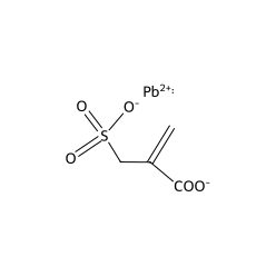 C=C(CS(=O)(=O)[O-])C(=O)[O-].[Pb+2]